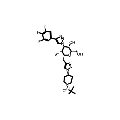 CO[C@@H]1[C@@H](n2cc(-c3cc(F)c(F)c(F)c3)nn2)[C@@H](O)[C@@H](CO)O[C@@H]1Cc1cn(C2CCN([S@@+]([O-])C(C)(C)C)CC2)nn1